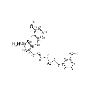 COc1cccc(CCOCCOCc2nc(N)sc2Cc2cccc(OC)c2)c1